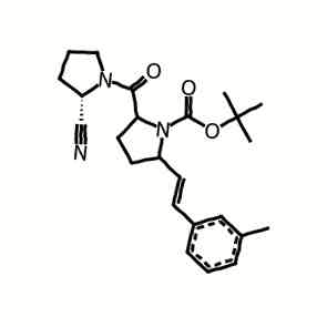 Cc1cccc(C=CC2CCC(C(=O)N3CCC[C@H]3C#N)N2C(=O)OC(C)(C)C)c1